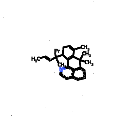 CC=CC(C)(C(C)C)C1CC=C(C)C2=C1c1nccc3cccc(c13)C2(C)C